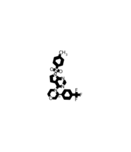 Cc1ccc(S(=O)(=O)n2ccc3c(N4CCOC[C@@H]4c4ccc(C(F)(F)F)cc4)ncnc32)cc1